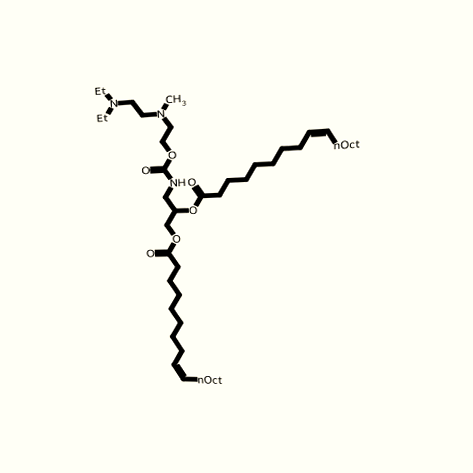 CCCCCCCC/C=C\CCCCCCCC(=O)OCC(CNC(=O)OCCN(C)CCN(CC)CC)OC(=O)CCCCCCC/C=C\CCCCCCCC